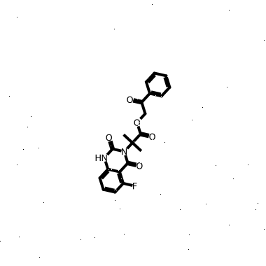 CC(C)(C(=O)OCC(=O)c1ccccc1)n1c(=O)[nH]c2cccc(F)c2c1=O